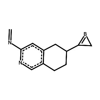 C=Nc1cc2c(cn1)CCC(C1=BC1)C2